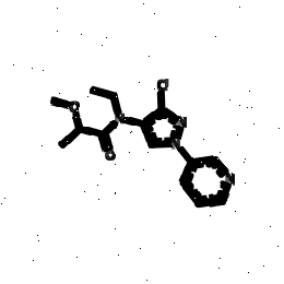 CCN(C(=O)C(C)OC)c1cn(-c2cccnc2)nc1Cl